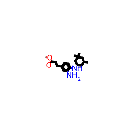 COC(=O)CCc1ccc(NC2CC(C)CC(C)(C)C2)c(N)c1